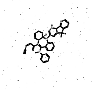 C#C/C=C\C(=C)C1=C(N(C)c2ccccc2)c2ccccc2N(C2=CNC3C(=C2)C(C)(C)c2cccnc23)[C@H]2CCC=CC12